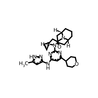 Cc1cc(Nc2cc(C3CCOCC3)nc(N(C)[C@@H]3C[C@H]4CCC[C@@H](C3)N4C(=O)CC3CC3)n2)n[nH]1